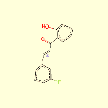 O=C(/C=C/c1cccc(F)c1)c1ccccc1O